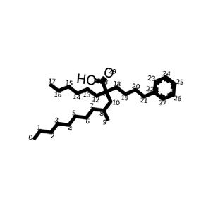 CCCCCCCCC(C)CC(CCCCCC)(CCCCc1ccccc1)C(=O)O